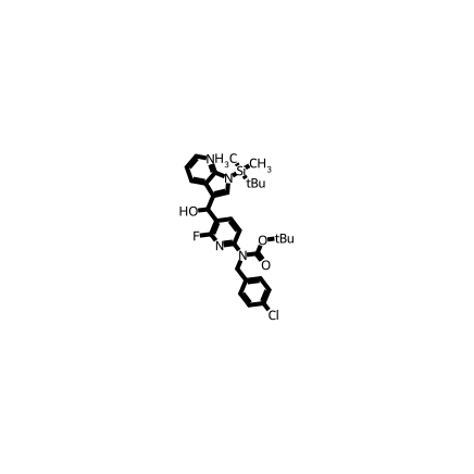 CC(C)(C)OC(=O)N(Cc1ccc(Cl)cc1)c1ccc(C(O)c2cn([Si](C)(C)C(C)(C)C)c3ncccc23)c(F)n1